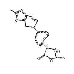 Cn1nc2c(n1)CC(c1ccc([C@@H]3NC(=O)NC3=O)cc1)C=C2